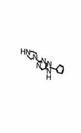 c1ccc(-c2nc3nc(N4CCNCC4)ncc3[nH]2)cc1